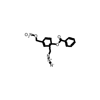 [N-]=[N+]=NCc1cc(CO[N+](=O)[O-])ccc1OC(=O)c1ccccc1